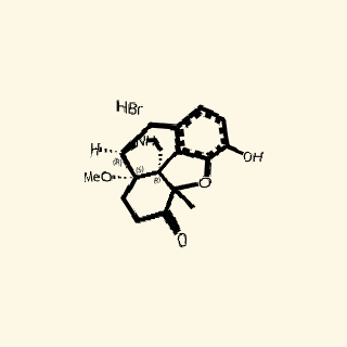 Br.CO[C@@]12CCC(=O)C3(C)Oc4c(O)ccc5c4[C@@]31CCN[C@@H]2C5